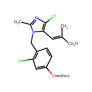 CCCCCOc1ccc(Cn2c(C)nc(Cl)c2C=C(C)C(=O)O)c(Cl)c1